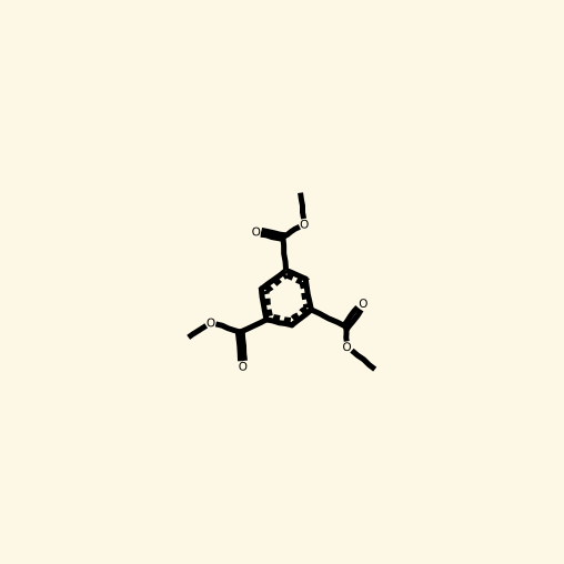 COC(=O)c1[c]c(C(=O)OC)cc(C(=O)OC)c1